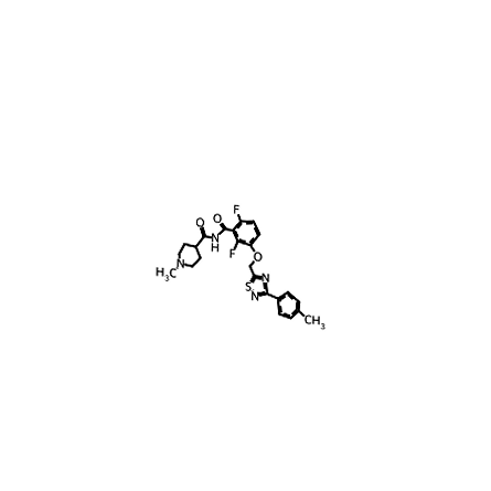 Cc1ccc(-c2nsc(COc3ccc(F)c(C(=O)NC(=O)C4CCN(C)CC4)c3F)n2)cc1